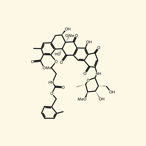 COC(=O)c1c(C)cc2c(c1OCCNC(=O)OCc1ccccc1C)[C@]1(O)C(=O)c3cc4c(c(O)c3C(=O)[C@]1(OC)[C@H](O)C2)C(=O)C=C(NC1O[C@@H](C)[C@H](OC)[C@@H](O)[C@H]1CO)C4=O